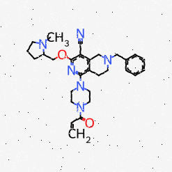 C=CC(=O)N1CCN(c2nc(OCC3CCCN3C)c(C#N)c3c2CCN(Cc2ccccc2)C3)CC1